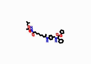 C=C(CCCCCCC(=O)NOC(C)OCC(C)C)Nc1ccc(CN[C@H](C(=O)OC2CCCC2)C2CCCCC2)cc1